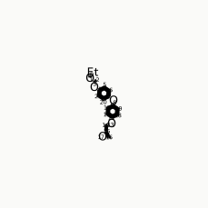 CCOCOc1ccc(Oc2ccc(OCC3CO3)cc2)cc1